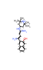 CC1(C)CC(N/C(N)=C/C=C(\N)c2cc3ccccc3cc2O)CC(C)(C)N1